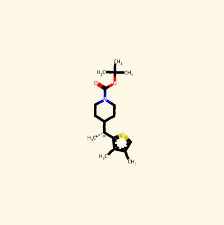 Cc1csc([C@H](C)C2CCN(C(=O)OC(C)(C)C)CC2)c1C